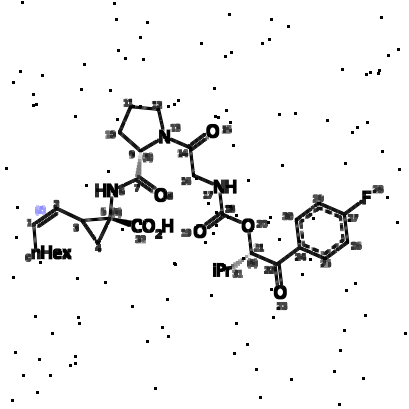 CCCCCC/C=C\C1C[C@]1(NC(=O)[C@@H]1CCCN1C(=O)CNC(=O)O[C@H](C(=O)c1ccc(F)cc1)C(C)C)C(=O)O